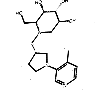 Cc1ccncc1N1CC[C@H](CN2C[C@H](O)[C@@H](O)[C@H](O)[C@@H]2CO)C1